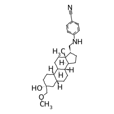 COC[C@@]1(O)CC[C@H]2[C@H](CC[C@@H]3[C@@H]2CC[C@]2(C)[C@@H](CNc4ccc(C#N)cc4)CC[C@@H]32)C1